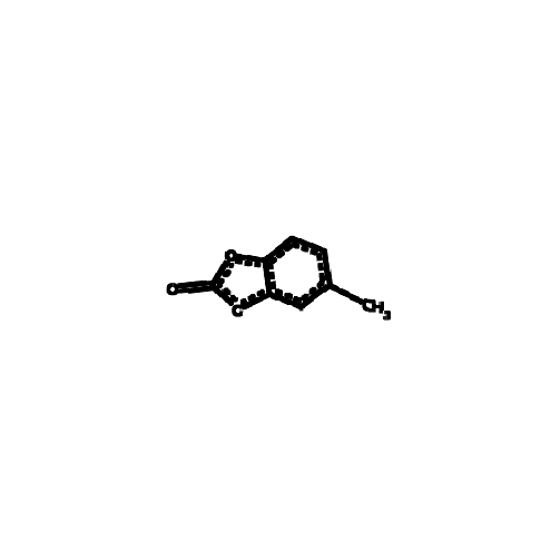 Cc1[c]c2oc(=O)oc2cc1